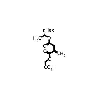 C=C(CC(=O)O[C@H](C)CCCCCC)C(=O)OCC(=O)O